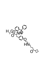 COC(=O)[C@H](Cc1ccc(OCCNCCCC(=O)C2CCC2)cc1)Nc1ccccc1C(=O)c1ccccc1